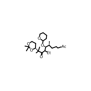 CCC(C(=O)C(C)(C)[C@@H]1CCOC(C)(C)O1)[C@@H](OC1CCCCO1)[C@@H](C)CCCC(C)=O